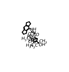 Cc1oc(S(=O)(=NC(=O)Nc2c3c(cc4c2CCC4)CCC3)N[Si](C)(C)C(C)(C)C)cc1C(C)(C)O